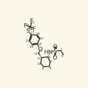 CCS(=O)(=O)N[C@@H]1CCCC[C@H]1COc1ccc(SC(F)(F)F)cc1